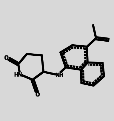 C=C(C)c1ccc(NC2CCC(=O)NC2=O)c2ccccc12